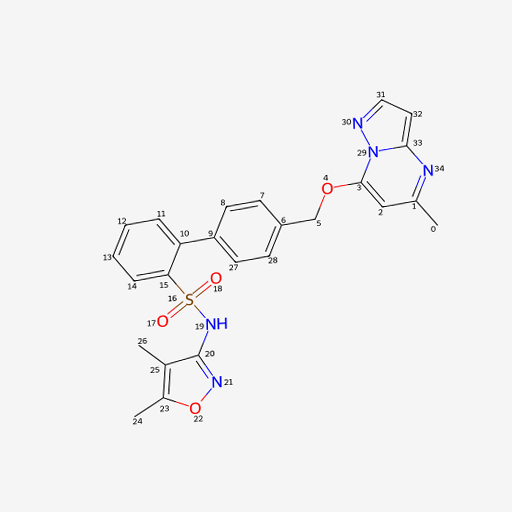 Cc1cc(OCc2ccc(-c3ccccc3S(=O)(=O)Nc3noc(C)c3C)cc2)n2nccc2n1